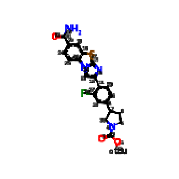 CC(C)(C)OC(=O)N1CCC(c2ccc(-c3cn4c(n3)sc3cc(C(N)=O)ccc34)c(F)c2)C1